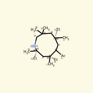 CC[C@]1(C)CC(C(C)=O)[C@](C)(CC)C[C@](C)(CC)NCC(C)(C)C1